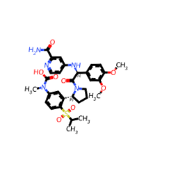 COc1ccc([C@H](Nc2ccnc(C(N)=O)c2)C(=O)N2CCC[C@@H]2c2cc(N(C)C(=O)O)ccc2S(=O)(=O)C(C)C)cc1OC